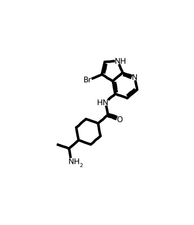 CC(N)C1CCC(C(=O)Nc2ccnc3[nH]cc(Br)c23)CC1